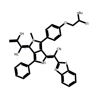 C=C(S)/C(C#N)=c1/c2c(-c3ccccc3)[nH]/c(=C(/C#N)c3nc4ccccc4s3)c2c(-c2ccc(OCC(CC)CCCC)cc2)n1C